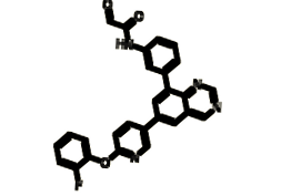 O=CC(=O)Nc1cccc(-c2cc(-c3ccc(Oc4ccccc4F)nc3)cc3cncnc23)c1